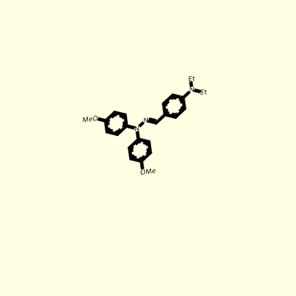 CCN(CC)c1ccc(/C=N/N(c2ccc(OC)cc2)c2ccc(OC)cc2)cc1